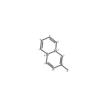 CC1=CN2C=CC=CB2C=C1